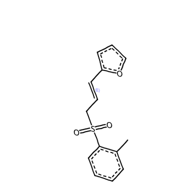 Cc1ccccc1S(=O)(=O)C/C=C/c1ccco1